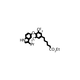 CCOC(=O)CCCCCc1cc(C(F)(F)F)c(Oc2ccc3[nH]cc(C(C)C)c3c2)c(C(F)(F)F)c1